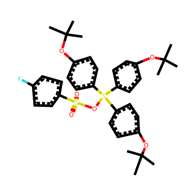 CC(C)(C)Oc1ccc(S(OS(=O)(=O)c2ccc(F)cc2)(c2ccc(OC(C)(C)C)cc2)c2ccc(OC(C)(C)C)cc2)cc1